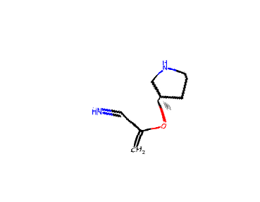 C=C(C=N)O[C@@H]1CCNC1